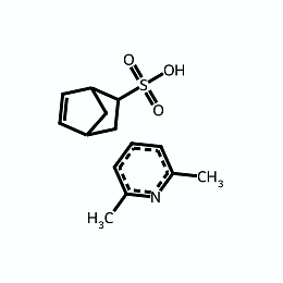 Cc1cccc(C)n1.O=S(=O)(O)C1CC2C=CC1C2